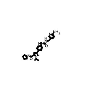 CC(C)n1nc(-c2ccc(NC(=O)NCc3ccc(N)nc3)cc2)cc1C(=O)NC1CCCC1